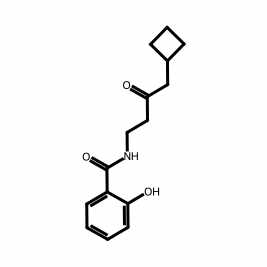 O=C(CCNC(=O)c1ccccc1O)CC1CCC1